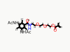 C=C(C)C(=O)OCCOCCOCCNC(=O)c1c(C)c(NC(C)=O)c(C)c(NC(C)=O)c1C